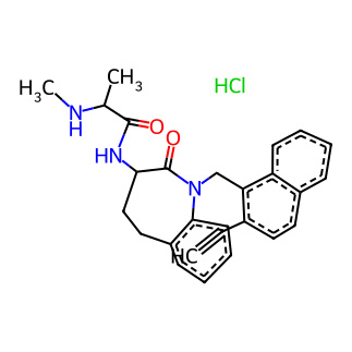 C#Cc1ccc2ccccc2c1CN1C(=O)C(NC(=O)C(C)NC)CCc2ccccc21.Cl